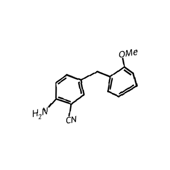 COc1ccccc1Cc1ccc(N)c(C#N)c1